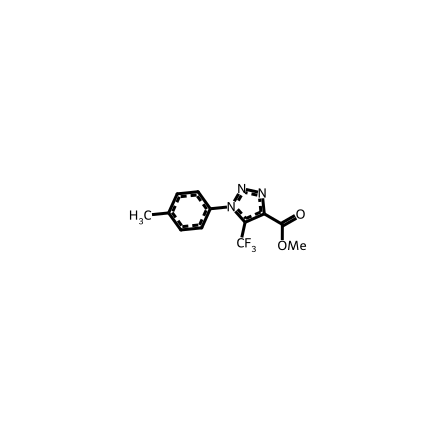 COC(=O)c1nnn(-c2ccc(C)cc2)c1C(F)(F)F